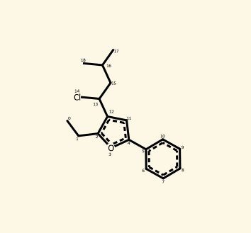 CCc1oc(-c2ccccc2)cc1C(Cl)CC(C)C